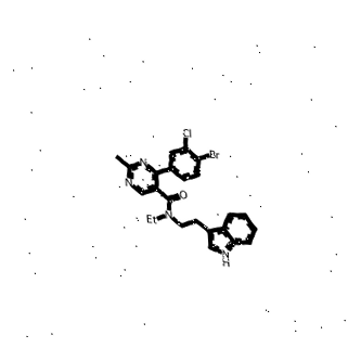 CCN(CCc1c[nH]c2ccccc12)C(=O)c1cnc(C)nc1-c1ccc(Br)c(Cl)c1